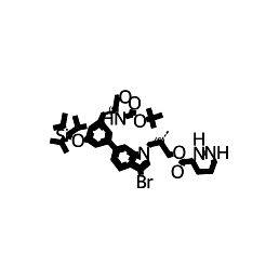 CC(C)[Si](Oc1cc(C[C@@H](C=O)NC(=O)OC(C)(C)C)cc(-c2ccc3c(Br)cn(C[C@H](C)COC(=O)C4CCCNN4)c3c2)c1)(C(C)C)C(C)C